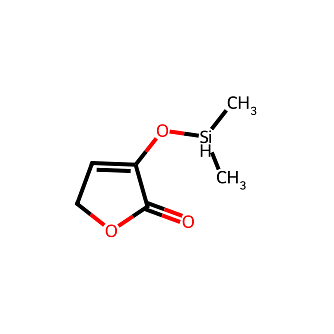 C[SiH](C)OC1=CCOC1=O